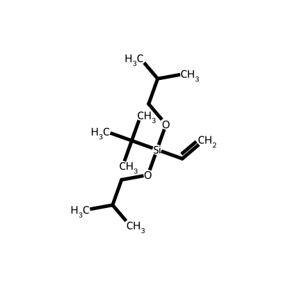 C=C[Si](OCC(C)C)(OCC(C)C)C(C)(C)C